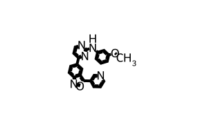 COc1cccc(Nc2nccc(-c3ccc4noc(-c5cccnc5)c4c3)n2)c1